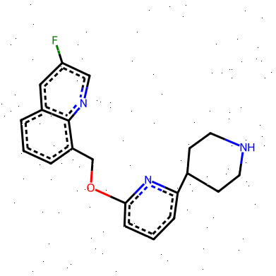 Fc1cnc2c(COc3cccc(C4CCNCC4)n3)cccc2c1